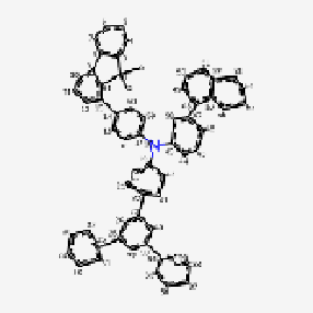 CC1(C)c2ccccc2-c2cccc(-c3ccc(N(c4ccc(-c5cc(-c6ccccc6)cc(-c6ccccc6)c5)cc4)c4cccc(-c5cccc6ccccc56)c4)cc3)c21